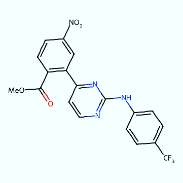 COC(=O)c1ccc([N+](=O)[O-])cc1-c1ccnc(Nc2ccc(C(F)(F)F)cc2)n1